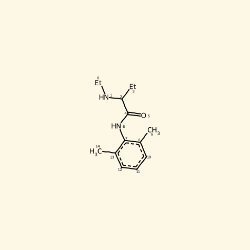 CCNC(CC)C(=O)Nc1c(C)cccc1C